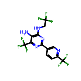 Nc1c(NCC(F)(F)F)nc(-c2ccc(C(F)(F)F)nc2)nc1C(F)(F)F